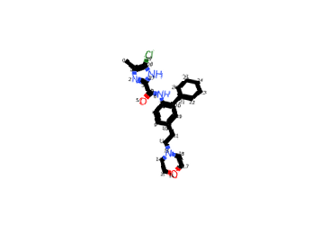 Cc1nc(C(=O)Nc2ccc(CCN3CCOCC3)cc2C2=CCCCC2)[nH]c1Cl